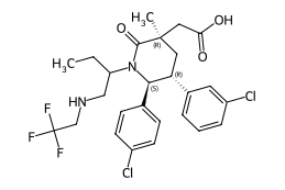 CCC(CNCC(F)(F)F)N1C(=O)[C@@](C)(CC(=O)O)C[C@H](c2cccc(Cl)c2)[C@H]1c1ccc(Cl)cc1